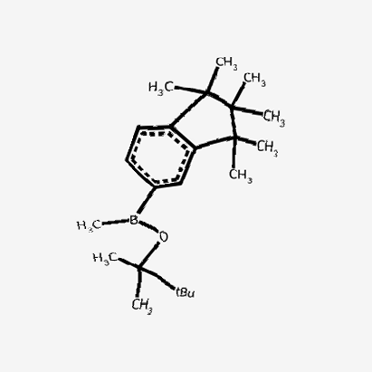 CB(OC(C)(C)C(C)(C)C)c1ccc2c(c1)C(C)(C)C(C)(C)C2(C)C